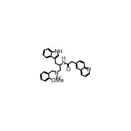 COc1ccccc1CN(CC(Cc1c[nH]c2ccccc12)NC(=O)Cc1ccc2ncccc2c1)C(C)=O